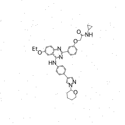 CCOc1ccc2nc(-c3cccc(OCC(=O)NC4CC4)c3)nc(Nc3ccc(-c4cnn(C5CCCCO5)c4)cc3)c2c1